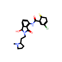 CN1CCCC1CCN1C(=O)c2c(NC(=O)C3=CC(Cl)=CCC3=S)cccc2C1O